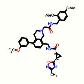 COc1ccc(CNC(=O)CN2CCc3c(-c4cccc(OC(F)(F)F)c4)ccc(CNC(=O)[C@@H]4C[C@H]4c4nc(C)no4)c3C2)c(OC)c1